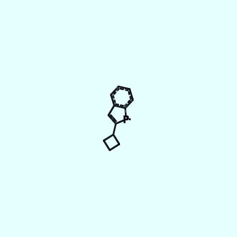 C1=C(C2CCC2)[P]c2ccccc21